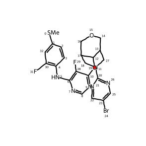 CSc1ccc(Nc2ncnc(OC3C4COCC3CN(c3ncc(Br)cn3)C4)c2F)c(F)c1